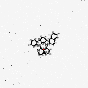 c1ccc(-n2c3ccc4ccccc4c3c3ccc4c5ccccc5n(-c5ccccn5)c4c32)cc1